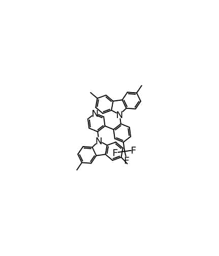 Cc1ccc2c(c1)c1cc(C)ccc1n2-c1ccncc1-c1cc(C(F)(F)F)ccc1-n1c2ccc(C)cc2c2cc(C)ccc21